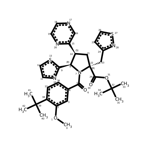 COc1cc(C(=O)N2[C@@H](c3nccs3)[C@@H](c3cnccn3)C[C@@]2(Cc2ccsn2)C(=O)OC(C)(C)C)ccc1C(C)(C)C